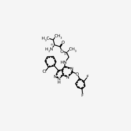 CC(C)[C@H](N)C(=O)O[C@@H](C)CNc1nc(Oc2ccc(F)cc2F)nc2[nH]nc(-c3ccccc3Cl)c12